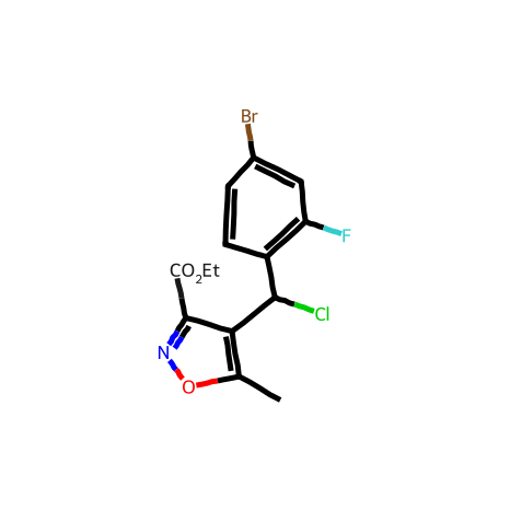 CCOC(=O)c1noc(C)c1C(Cl)c1ccc(Br)cc1F